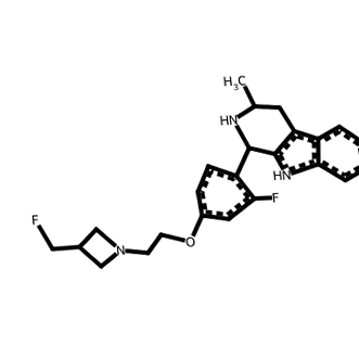 CC1Cc2c([nH]c3ccccc23)C(c2ccc(OCCN3CC(CF)C3)cc2F)N1